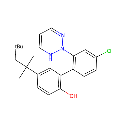 CC(C)(C)CC(C)(C)c1ccc(O)c(-c2ccc(Cl)cc2N2N=CC=CN2)c1